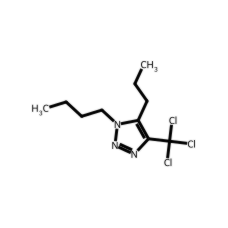 CCCCn1nnc(C(Cl)(Cl)Cl)c1CCC